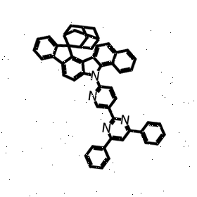 c1ccc(-c2cc(-c3ccccc3)nc(-c3ccc(-n4c5ccc6c(c5c5ccc7ccccc7c54)C4(c5ccccc5-6)C5CC6CC(C5)CC4C6)nc3)n2)cc1